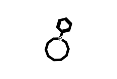 c1ccc(P2CCCCCCCCC2)cc1